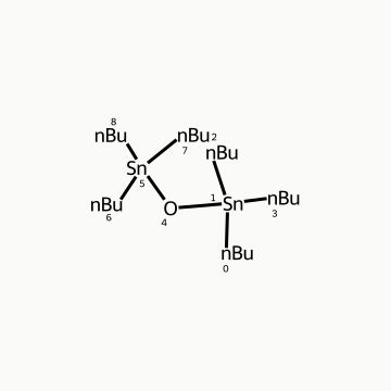 CCC[CH2][Sn]([CH2]CCC)([CH2]CCC)[O][Sn]([CH2]CCC)([CH2]CCC)[CH2]CCC